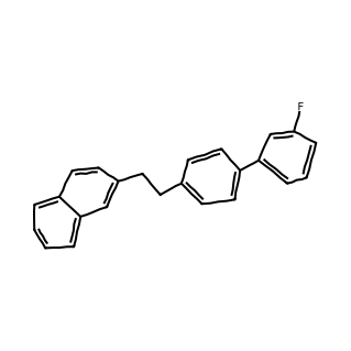 Fc1cccc(-c2ccc(CCc3ccc4ccccc4c3)cc2)c1